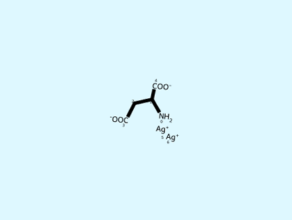 NC(CC(=O)[O-])C(=O)[O-].[Ag+].[Ag+]